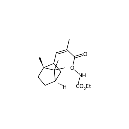 CCOC(=O)NOC(=O)C(C)=CC1C[C@H]2CC[C@@]1(C)C2(C)C